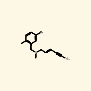 Cc1ccc(Br)cc1CN(C)CC=CC#CC(C)(C)C